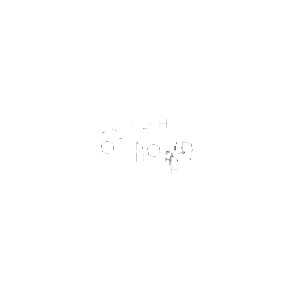 O=C(CC(SC1=CC(=O)c2ccccc2C1=O)C(=O)O)Nc1ccc(S(=O)(=O)Nc2ncccn2)cc1